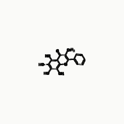 O=c1[c]([GeH3])c(-c2ccccc2)oc2c(O)c(O)c(O)c(O)c12